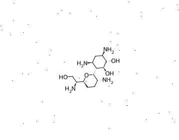 N[C@@H]1CC[C@@H]([C@@H](N)CO)OC1[C@H]1[C@H](O)[C@@H](O)[C@H](N)C[C@@H]1N